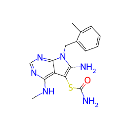 CNc1ncnc2c1c(SC(N)=O)c(N)n2Cc1ccccc1C